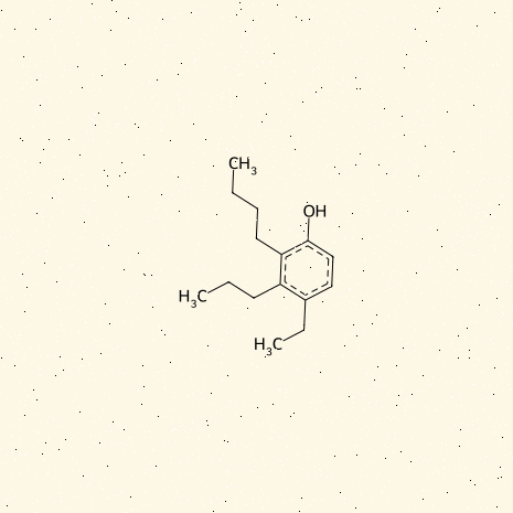 CCCCc1c(O)ccc(CC)c1CCC